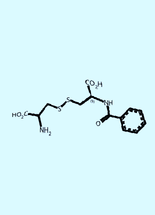 NC(CSSC[C@H](NC(=O)c1ccccc1)C(=O)O)C(=O)O